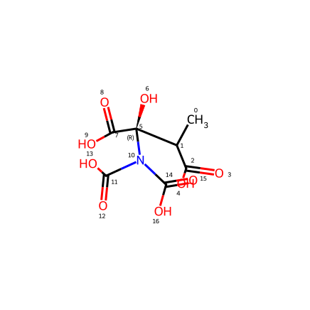 CC(C(=O)O)[C@@](O)(C(=O)O)N(C(=O)O)C(=O)O